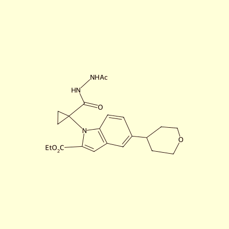 CCOC(=O)c1cc2cc(C3CCOCC3)ccc2n1C1(C(=O)NNC(C)=O)CC1